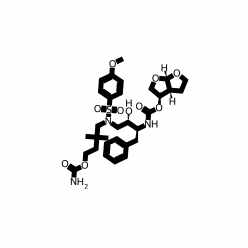 COc1ccc(S(=O)(=O)N(C[C@H](O)[C@H](Cc2ccccc2)NC(=O)O[C@H]2CO[C@H]3OCC[C@H]32)CC(C)(C)CCOC(N)=O)cc1